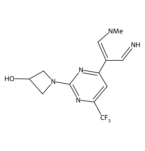 CN/C=C(\C=N)c1cc(C(F)(F)F)nc(N2CC(O)C2)n1